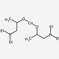 CCN(CC)CC(C)[O][Cu][O]C(C)CN(CC)CC